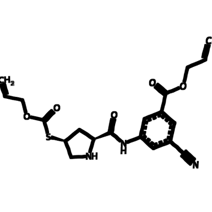 C=CCOC(=O)S[C@@H]1CN[C@H](C(=O)Nc2cc(C#N)cc(C(=O)OCC=C)c2)C1